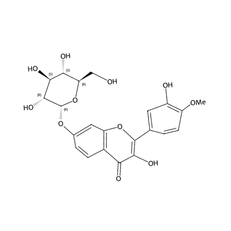 COc1ccc(-c2oc3cc(O[C@H]4O[C@H](CO)[C@@H](O)[C@H](O)[C@H]4O)ccc3c(=O)c2O)cc1O